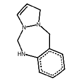 C1=CN2CNc3ccccc3CN2C1